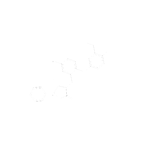 Cc1ccc(Oc2ccc(Br)cc2CN2C(=O)O[C@H](c3ccccc3)[C@@H]2C)cc1CC(=O)O